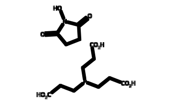 O=C(O)CCP(CCC(=O)O)CCC(=O)O.O=C1CCC(=O)N1O